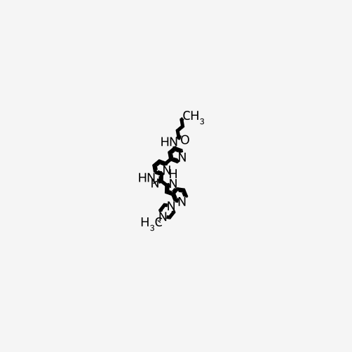 CCCCC(=O)Nc1cncc(-c2ccc3[nH]nc(-c4cc5c(N6CCN(C)CC6)nccc5[nH]4)c3n2)c1